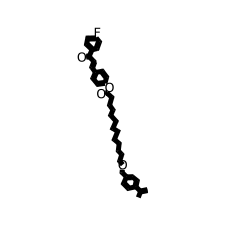 C=C(C)c1ccc(COCCCCCCCCCCCCC(=O)Oc2ccc(C=CC(=O)c3ccc(F)cc3)cc2)cc1